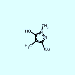 Cc1c(C(C)(C)C)nn(C)c1O